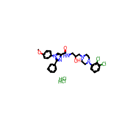 COc1ccc(-n2cc(C(=O)NCC(O)CN3CCN(c4cccc(Cl)c4Cl)CC3)nc2-c2ccccc2)cc1.Cl.Cl